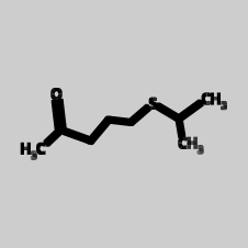 CC(=O)CCCSC(C)C